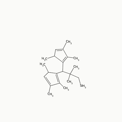 CC1=CC(C)C(C(C2=C(C)C(C)=CC2C)C(C)(C)C[SiH3])=C1C